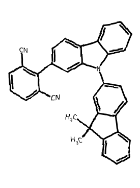 CC1(C)c2ccccc2-c2ccc(-n3c4ccccc4c4ccc(-c5c(C#N)cccc5C#N)cc43)cc21